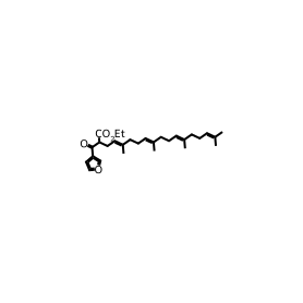 CCOC(=O)C(C/C=C(\C)CC/C=C(\C)CC/C=C(\C)CCC=C(C)C)C(=O)c1ccoc1